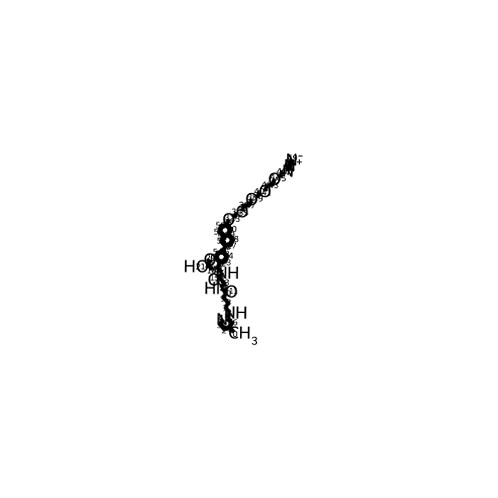 Cc1ccnc(NCCCC(=O)NCC(=O)N[C@@H](CC(=O)O)c2ccc(-c3ccc4cc(OCCOCCOCCOCCOCCN=[N+]=[N-])ccc4c3)cc2)c1